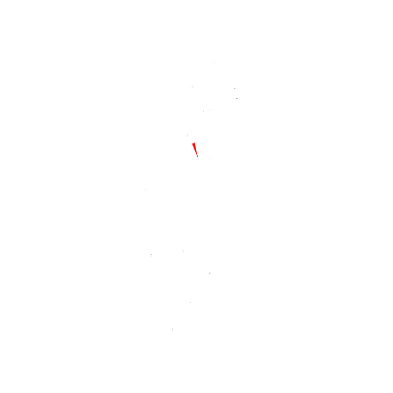 CC(C)(C)Cc1cccc2c1CC[C@@H]2O[Si](C)(C)C(C)(C)C